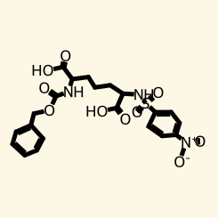 O=C(NC(CCCC(NS(=O)(=O)c1ccc([N+](=O)[O-])cc1)C(=O)O)C(=O)O)OCc1ccccc1